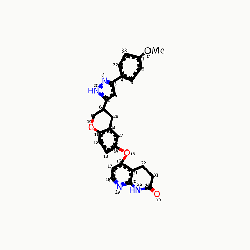 COc1ccc(-c2cc(C3COc4ccc(Oc5ccnc6c5CCC(=O)N6)cc4C3)[nH]n2)cc1